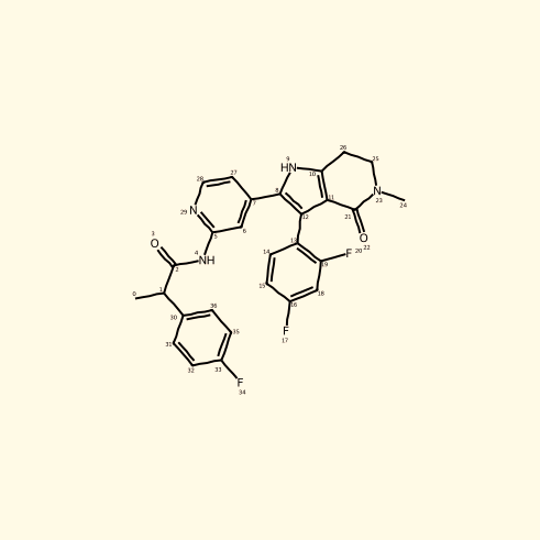 CC(C(=O)Nc1cc(-c2[nH]c3c(c2-c2ccc(F)cc2F)C(=O)N(C)CC3)ccn1)c1ccc(F)cc1